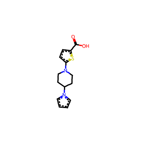 O=C(O)c1ccc(N2CCC(n3cccc3)CC2)s1